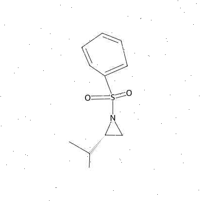 CC(C)[C@H]1CN1S(=O)(=O)c1ccccc1